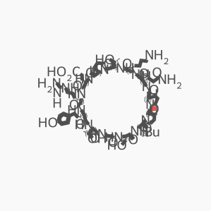 CC[C@H](C)[C@@H]1NC(=O)[C@H](CO)NC(=O)[C@H](C)NC(=O)[C@H]([C@@H](C)O)NC(=O)[C@H](CCc2ccc(O)cc2)NC(=O)[C@H](CCCNC(=N)N)NC(=O)[C@H](CCC(=O)O)NC(=O)[C@H]2CCCN2C(=O)[C@H]([C@@H](C)O)NC(=O)[C@H](CCCCN)NC(=O)[C@H](CCC(N)=O)NC(=O)[C@@H]2CCCN2C(=O)[C@@H]2CCCN2C1=O